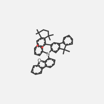 CC1(C)CCC(C)(C)c2c(-c3cc4c(cc3N(c3ccccc3)c3cccc5c3oc3ccccc35)C(C)(C)c3ccccc3-4)cccc21